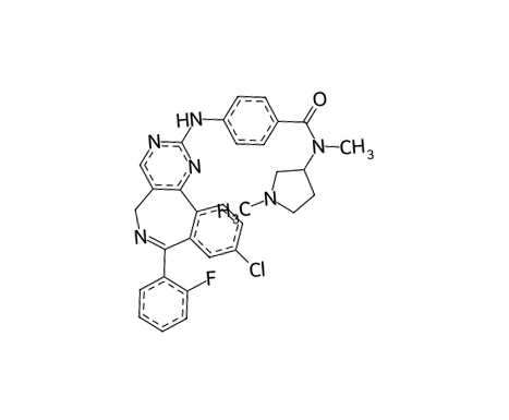 CN1CCC(N(C)C(=O)c2ccc(Nc3ncc4c(n3)-c3ccc(Cl)cc3C(c3ccccc3F)=NC4)cc2)C1